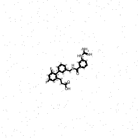 N=C(N)Nc1cccc(C(=O)NCc2cccc(-c3c(F)cc(F)cc3CCC(=O)O)c2)c1